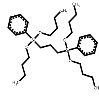 CCCCO[Si](CCC[Si](OCCCC)(OCCCC)c1ccccc1)(OCCCC)c1ccccc1